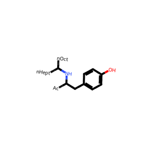 CCCCCCCCC(CCCCCCC)NC(Cc1ccc(O)cc1)C(C)=O